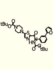 CC(C)(C)OC(=O)NN(C(=O)c1ncc(N2CCN(C(=O)OC(C)(C)C)CC2)s1)c1cccc(-c2ccco2)c1